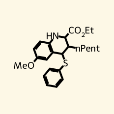 CCCCCC1C(C(=O)OCC)Nc2ccc(OC)cc2C1Sc1ccccc1